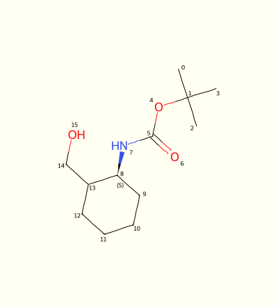 CC(C)(C)OC(=O)N[C@H]1CCCCC1CO